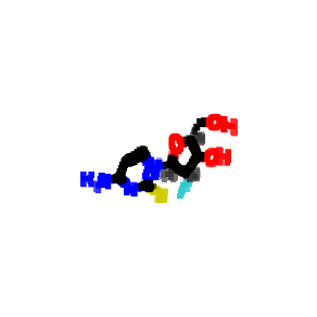 Nc1ccn([C@@H]2O[C@H](CO)C(O)[C@@H]2F)c(=S)n1